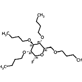 CCCCOC[C@H]1O[C@H](F)[C@H](OCCCC)[C@@H](OCCCC)[C@@H]1OCCCC